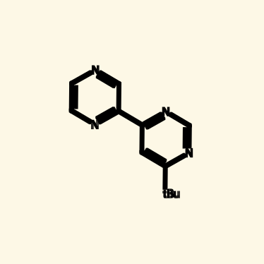 CC(C)(C)c1cc(-c2cnccn2)ncn1